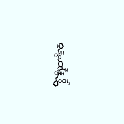 CCOc1ccccc1/C=C/C(=O)Nc1sc2c(c1C#N)CCC(COC(=O)NCc1ccccn1)C2